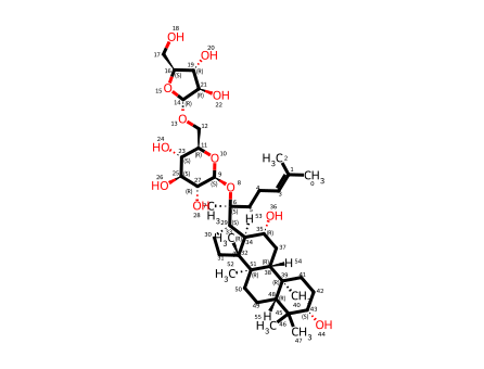 CC(C)=CCC[C@](C)(O[C@@H]1O[C@H](CO[C@@H]2O[C@@H](CO)[C@H](O)[C@H]2O)[C@@H](O)[C@H](O)[C@H]1O)[C@H]1CC[C@]2(C)[C@@H]1[C@H](O)C[C@@H]1[C@@]3(C)CC[C@H](O)C(C)(C)[C@@H]3CC[C@]12C